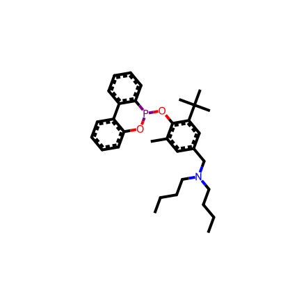 CCCCN(CCCC)Cc1cc(C)c(OP2Oc3ccccc3-c3ccccc32)c(C(C)(C)C)c1